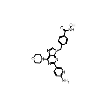 Nc1ccc(-c2nc(N3CCOCC3)c3ncn(Cc4ccc(C(=O)NO)cc4)c3n2)cn1